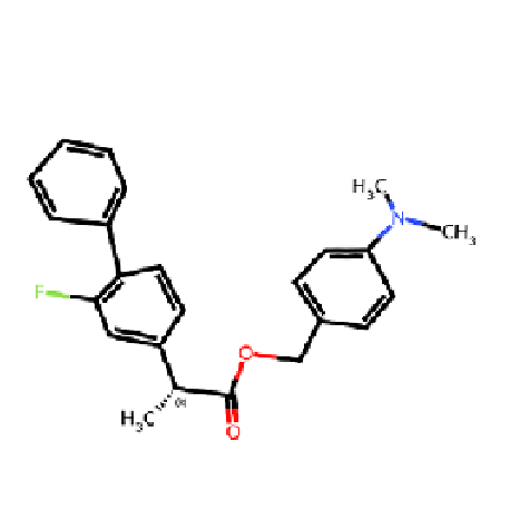 C[C@@H](C(=O)OCc1ccc(N(C)C)cc1)c1ccc(-c2ccccc2)c(F)c1